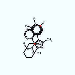 Cn1nc2c(c1-c1cc(F)c(F)c(F)c1)C[C@H]1CCC[C@@H]2N1C(=O)c1ncnc2ccccc12